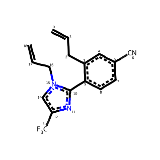 C=CCc1cc(C#N)ccc1-c1nc(C(F)(F)F)cn1CC=C